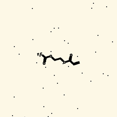 C=CC(=O)OCCOC(=O)C(F)(F)F